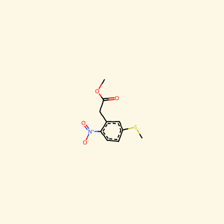 COC(=O)Cc1cc(SC)ccc1[N+](=O)[O-]